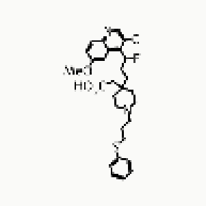 COc1ccc2ncc(Cl)c([C@@H](F)CCC3(CC(=O)O)CCN(CCCSc4ccccc4)CC3)c2c1